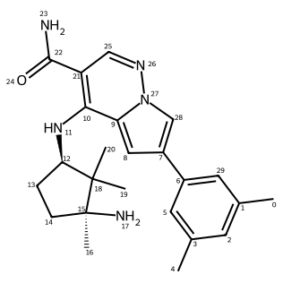 Cc1cc(C)cc(-c2cc3c(N[C@@H]4CC[C@](C)(N)C4(C)C)c(C(N)=O)cnn3c2)c1